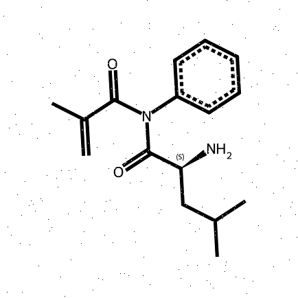 C=C(C)C(=O)N(C(=O)[C@@H](N)CC(C)C)c1ccccc1